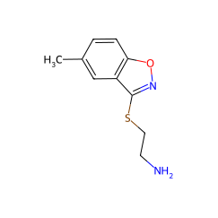 Cc1ccc2onc(SCCN)c2c1